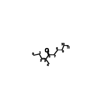 CCC=C(C)C(=O)CCCCC